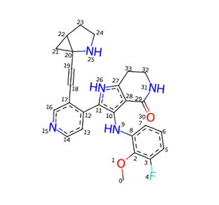 COc1c(F)cccc1Nc1c(-c2ccncc2C#CC23CC2CCN3)[nH]c2c1C(=O)NCC2